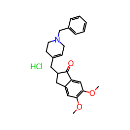 COc1cc2c(cc1OC)C(=O)C(CC1=CCN(Cc3ccccc3)CC1)C2.Cl